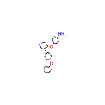 Nc1ccc(Oc2ccncc2-c2ccc(Oc3ccccc3)cc2)cc1